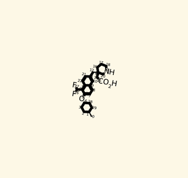 C[C@H]1CC[C@@H](Oc2ccc3cc(C[C@@]4(CC(=O)O)CCCNC4)ccc3c2C(F)F)CC1